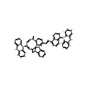 C=C1/C=C\C(N2c3ccccc3Cc3ccccc32)=C/C(C)C2(Cc3ccccc3C2)c2cc(/C=C/c3cccc4c(N5c6ccccc6Cc6ccccc65)cccc34)ccc21